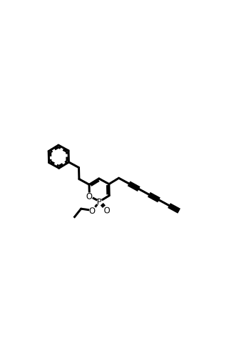 C#CC#CC#CCC1=CP(=O)(OCC)OC(CCc2ccccc2)=C1